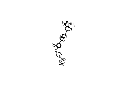 COc1cc(-c2nn3cc(-c4cnc(N)c(C(F)(F)F)c4)nc3s2)ccc1OC1CCN(C(=O)OC(C)(C)C)CC1